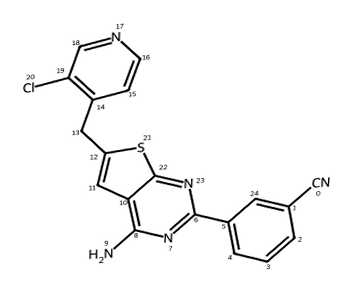 N#Cc1cccc(-c2nc(N)c3cc(Cc4ccncc4Cl)sc3n2)c1